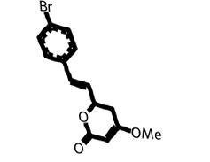 COC1=CC(=O)OC(/C=C/c2ccc(Br)cc2)C1